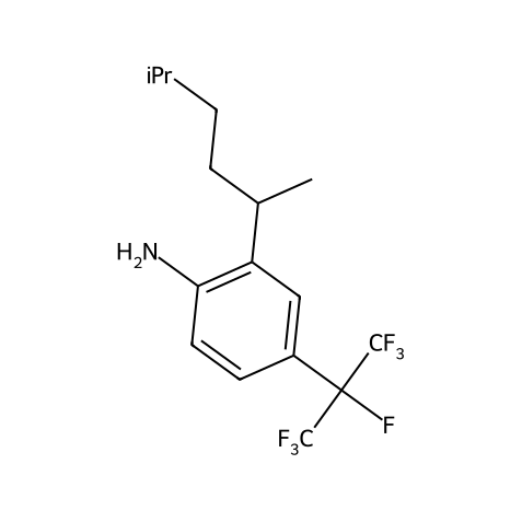 CC(C)CCC(C)c1cc(C(F)(C(F)(F)F)C(F)(F)F)ccc1N